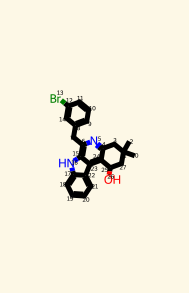 CC1(C)Cc2nc(Cc3cccc(Br)c3)c3[nH]c4ccccc4c3c2C(O)C1